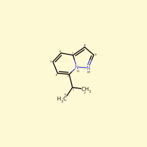 CC(C)c1cccc2ccnn12